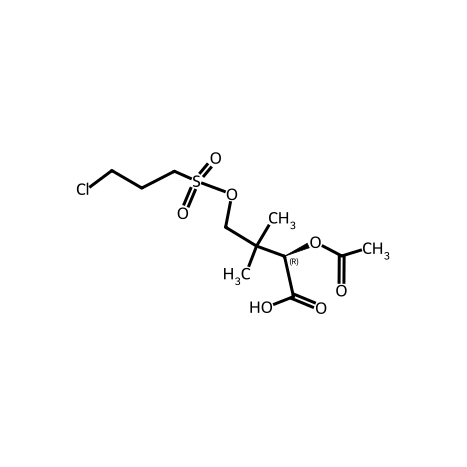 CC(=O)O[C@@H](C(=O)O)C(C)(C)COS(=O)(=O)CCCCl